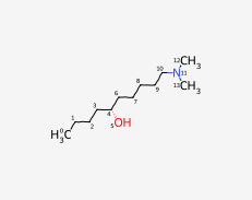 CCCC[C@@H](O)CCCCCN(C)C